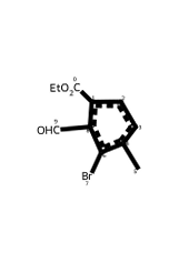 CCOC(=O)c1ccc(C)c(Br)c1C=O